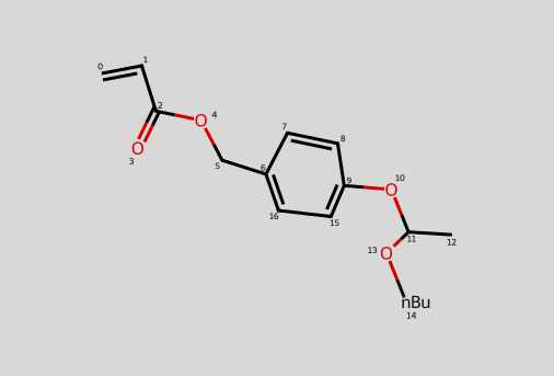 C=CC(=O)OCc1ccc(OC(C)OCCCC)cc1